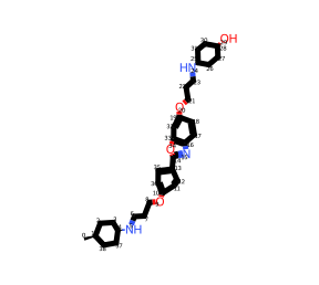 C[C@H]1CC[C@H](NCCCOc2ccc(-c3nc4ccc(OCCCN[C@H]5CC[C@H](O)CC5)cc4o3)cc2)CC1